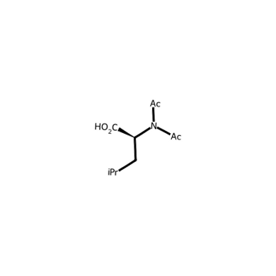 CC(=O)N(C(C)=O)[C@@H](CC(C)C)C(=O)O